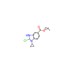 COC(=O)c1ccc2c(c1)NC(Cl)N2C1CC1